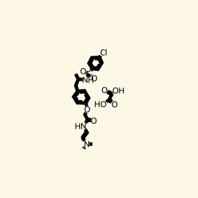 CC(Cc1ccc(OCC(=O)NC=CN(C)C)cc1)NS(=O)(=O)c1ccc(Cl)cc1.O=C(O)C(=O)O